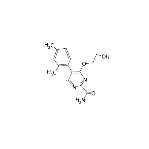 Cc1ccc(-c2[c]nc(C(N)=O)nc2OCCO)c(C)c1